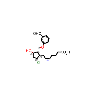 O=Cc1cccc(OC[C@@H]2[C@@H](C/C=C\CCCC(=O)O)[C@H](Cl)C[C@H]2O)c1